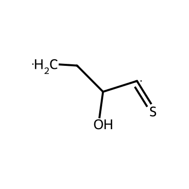 [CH2]CC(O)[C]=S